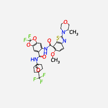 COc1ccc2nc(N3CCOC[C@@H]3C)sc2c1C(=O)Nc1cc2c(cc1C(=O)NC13CCC(C(F)(F)F)(CC1)OC3)OC(F)(F)O2